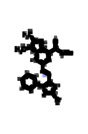 CNC(=O)c1cc(/C=C/c2nc(Br)cn2-c2ccccc2)nn2c(C)c(C(F)(F)F)nc12